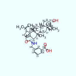 C=C(C)[C@@H]1CC[C@]2(C(=O)NCc3cccc(C(=O)O)c3)CC[C@]3(C)[C@H](CC[C@@H]4[C@@]5(C)CC[C@H](O)C(=C)[C@@H]5CC[C@]43C)[C@@H]12